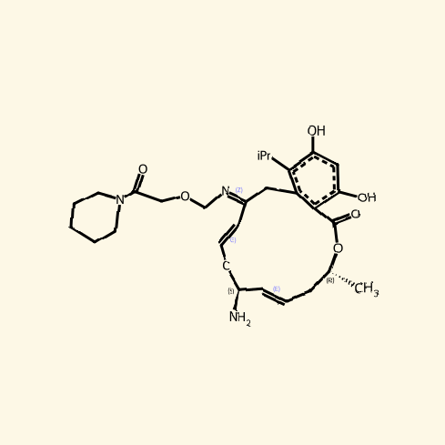 CC(C)c1c(O)cc(O)c2c1CC(=N/COCC(=O)N1CCCCC1)/C=C/C[C@H](N)/C=C/C[C@@H](C)OC2=O